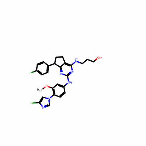 COc1cc(Nc2nc(NCCCO)c3c(n2)C(c2ccc(F)cc2)CC3)ccc1-n1cnc(Cl)c1